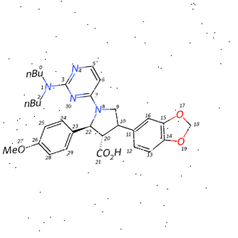 CCCCN(CCCC)c1nccc(N2CC(c3ccc4c(c3)OCO4)[C@H](C(=O)O)[C@H]2c2ccc(OC)cc2)n1